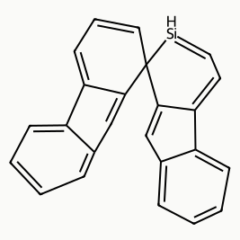 C1=CC2([SiH]=CC=C3C2=Cc2ccccc23)C2=Cc3ccccc3C2=C1